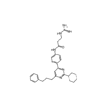 N=C(N)NCCC(=O)Nc1ccc(-c2cc(CCCc3ccccc3)nc(C3CCCCC3)n2)cc1